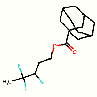 CC(F)(F)C(F)CCOC(=O)C12CC3CC(CC(C3)C1)C2